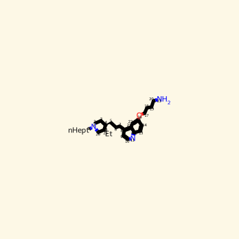 CCCCCCCN1CC[C@@H](CCCc2ccnc3ccc(OCCCCN)cc23)[C@@H](CC)C1